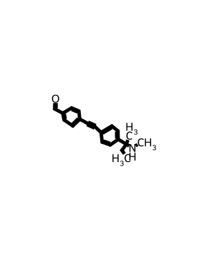 CCC(C)(NC)c1ccc(C#Cc2ccc(C=O)cc2)cc1